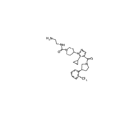 NCCNC(=O)N1CCC(n2ncc(C(=O)N3CC[C@@H](c4ccccc4C(F)(F)F)C3)c2C2CC2)CC1